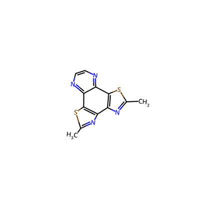 Cc1nc2c3nc(C)sc3c3nccnc3c2s1